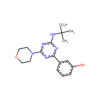 CC(C)(Nc1nc(-c2cccc(O)c2)nc(N2CCOCC2)n1)C(=O)O